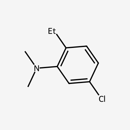 CCc1ccc(Cl)cc1N(C)C